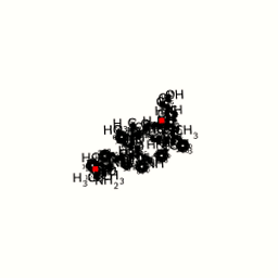 CCCC[C@@H](C(=O)N(C)CC(=O)N[C@H](C=O)CC(=O)O)N(C)C(=O)C(Cc1ccccc1)N(C)C(=O)[C@H](Cc1ccccc1)NC(=O)CSC[C@H](NC(=O)[C@H](CC(C)C)NC(=O)[C@H](Cc1ccc(O)cc1)NC(=O)[C@H](Cc1c[nH]c2ccccc12)NC(=O)[C@H]1CCCN1C(=O)[C@H](Cc1ccc(O)cc1)NCC(=O)C(Cc1ccccc1)N(C)C(=O)[C@H](C)N)C(=O)NCC(N)=O